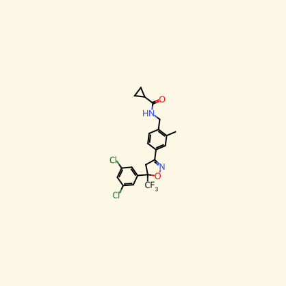 Cc1cc(C2=NOC(c3cc(Cl)cc(Cl)c3)(C(F)(F)F)C2)ccc1CNC(=O)C1CC1